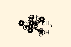 COc1cc(C(=O)OCc2c(C)cccc2C)c2c(c1)c(C(=O)Oc1ccccc1)c1ccccc1[n+]2CCCCS(=O)(=O)O